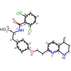 CC1CCNc2nc(CCOc3ccc(C[C@H](NC(=O)c4c(Cl)cccc4Cl)C(=O)O)cc3)ccc21